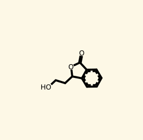 O=C1OC(CCO)c2ccccc21